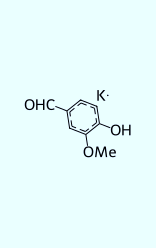 COc1cc(C=O)ccc1O.[K]